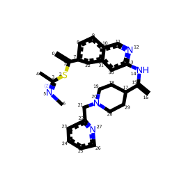 C=C(S/C(C)=N\C)c1ccc2cnc(NC(=C)C3CCN(Cc4ccccn4)CC3)cc2c1